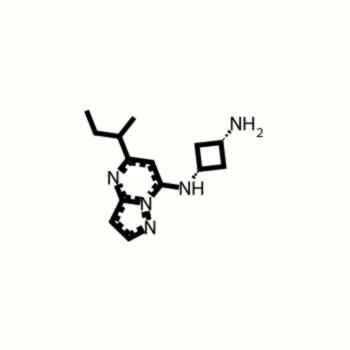 CCC(C)c1cc(N[C@H]2C[C@@H](N)C2)n2nccc2n1